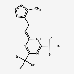 Cc1cocc1CC=C1N=C(C(Br)(Br)Br)N=C(C(Br)(Br)Br)N1